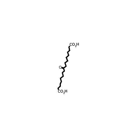 O=C(O)CCCCCCCCC(=O)CCCCCCCCC(=O)O